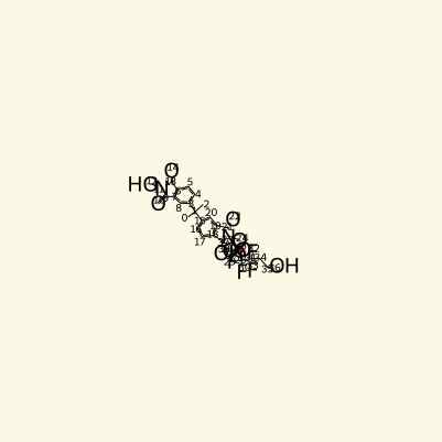 CC(C)(c1ccc2c(c1)C(=O)N(O)C2=O)c1ccc2c(c1)C(=O)N(OS(=O)(=O)C(F)(F)C(F)(F)CCO)C2O